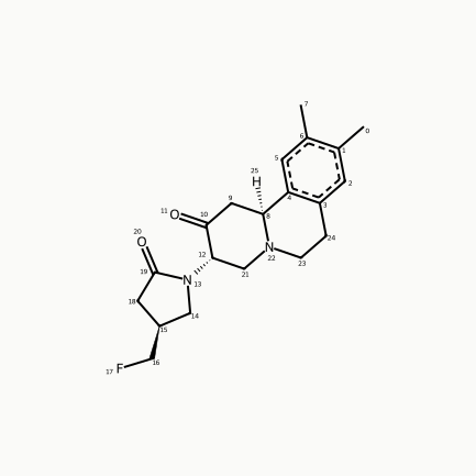 Cc1cc2c(cc1C)[C@@H]1CC(=O)[C@@H](N3C[C@@H](CF)CC3=O)CN1CC2